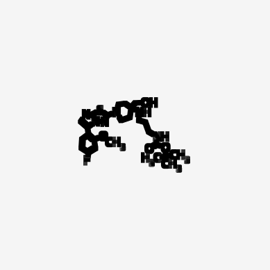 COc1cc(F)ccc1-c1cnc2sc(N3CCC(CO)(NCCCNC(=O)OC(C)(C)C)CC3)nn12